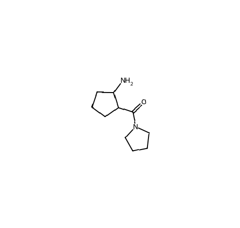 NC1CCCC1C(=O)N1CCCC1